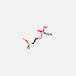 CC[S+]([O-])CCOP(=O)(O)OC